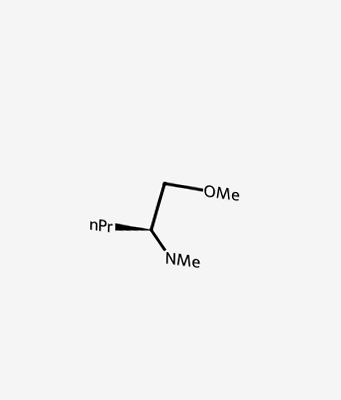 CCC[C@@H](COC)NC